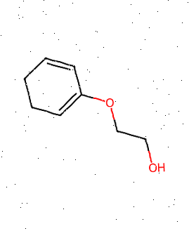 OCCOC1=CCCC=C1